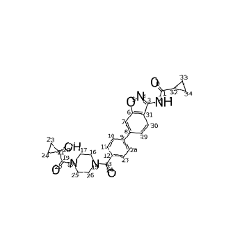 O=C(Nc1noc2cc(-c3ccc(C(=O)N4CCN(C(=O)C5(O)CC5)CC4)cc3)ccc12)C1CC1